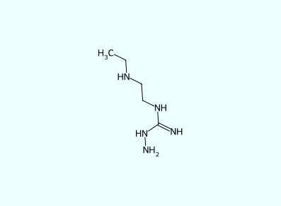 CCNCCNC(=N)NN